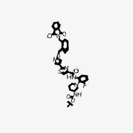 CC(C)(C)OC(=O)N[C@@H]1CCCN(c2c(F)cccc2NC(=O)c2csc(-c3cnn(Cc4ccccc4CN4C(=O)c5ccccc5C4=O)c3)n2)C1